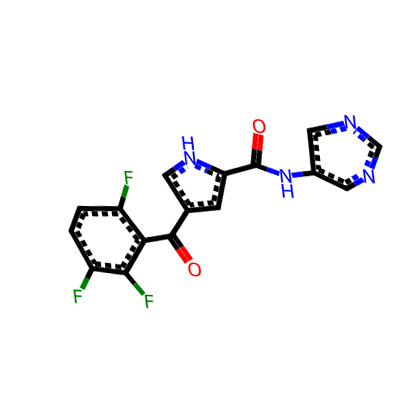 O=C(Nc1cncnc1)c1cc(C(=O)c2c(F)ccc(F)c2F)c[nH]1